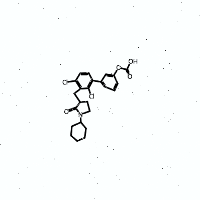 O=C(O)Oc1cccc(-c2ccc(Cl)c(CC3CCN(C4CCCCC4)C3=O)c2Cl)c1